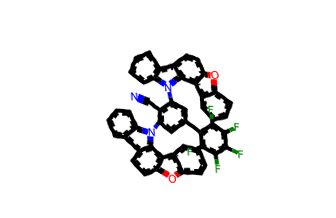 N#Cc1c(-n2c3ccccc3c3ccc4oc5ccccc5c4c32)cc(-c2c(F)c(F)c(F)c(F)c2F)cc1-n1c2ccccc2c2ccc3oc4ccccc4c3c21